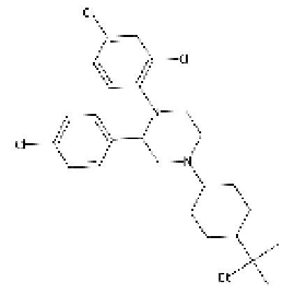 CCC(C)(C)C1CCC(N2CCN(c3ccc(Cl)cc3Cl)C(c3ccc(Cl)cc3)C2)CC1